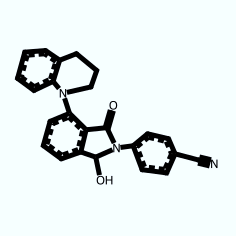 N#Cc1ccc(N2C(=O)c3c(cccc3N3CCCc4ccccc43)C2O)cc1